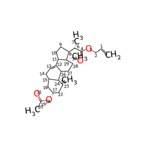 C=CCOC(=O)[C@@H](C)C1CCC2C3=CCC4C[C@@H](OC(C)=O)CC[C@]4(C)C3CC[C@@]21C